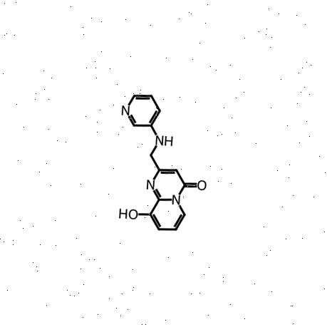 O=c1cc(CNc2cccnc2)nc2c(O)cccn12